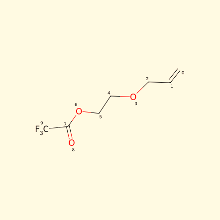 C=CCOCCOC(=O)C(F)(F)F